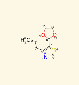 C=CCc1n[c]sc1C1OCCO1